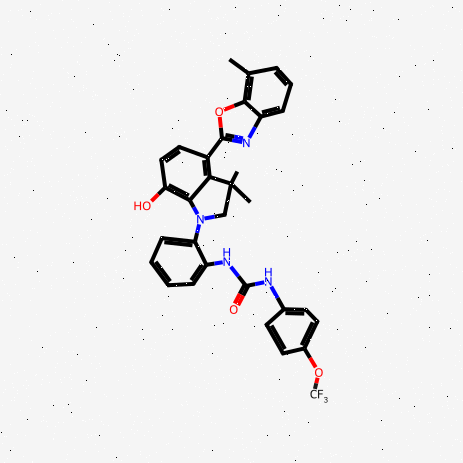 Cc1cccc2nc(-c3ccc(O)c4c3C(C)(C)CN4c3ccccc3NC(=O)Nc3ccc(OC(F)(F)F)cc3)oc12